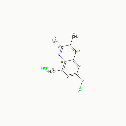 Cc1nc2cc(CCl)cc(C)c2nc1C.Cl